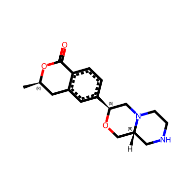 C[C@@H]1Cc2cc([C@H]3CN4CCNC[C@@H]4CO3)ccc2C(=O)O1